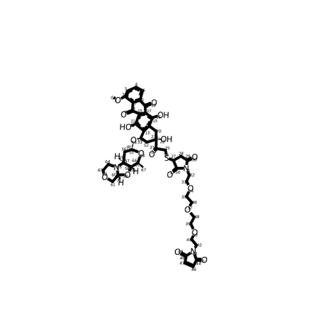 COc1cccc2c1C(=O)c1c(O)c3c(c(O)c1C2=O)C[C@@](O)(C(=O)CSC1CC(=O)N(CCOCCOCCOCCN2C(=O)C=CC2=O)C1=O)C[C@@H]3O[C@H]1C[C@H]2[C@H](O[C@@H]3COCCN32)[C@H](C)O1